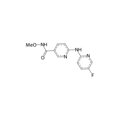 CONC(=O)c1ccc(Nc2ccc(F)cn2)nc1